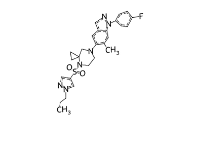 CCCn1cc(S(=O)(=O)N2CCN(c3cc4cnn(-c5ccc(F)cc5)c4cc3C)CC23CC3)cn1